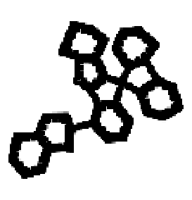 c1ccc2c(c1)-c1ccccc1C21c2cccc(-c3ccc4ccccc4n3)c2-c2oc3ccccc3c21